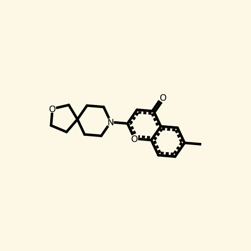 Cc1ccc2oc(N3CCC4(CCOC4)CC3)cc(=O)c2c1